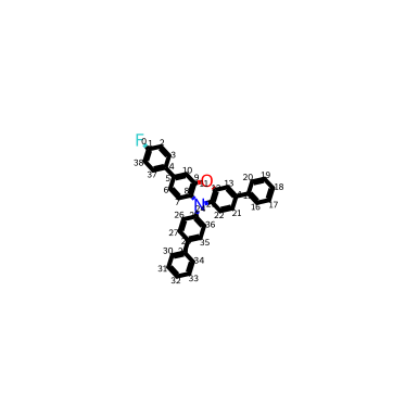 Fc1ccc(-c2ccc3c(c2)Oc2cc(-c4ccccc4)ccc2N3c2ccc(-c3ccccc3)cc2)cc1